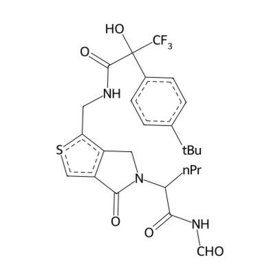 CCCC(C(=O)NC=O)N1Cc2c(csc2CNC(=O)C(O)(c2ccc(C(C)(C)C)cc2)C(F)(F)F)C1=O